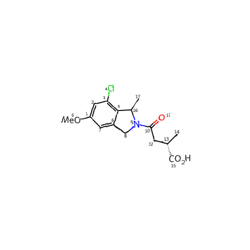 COc1cc(Cl)c2c(c1)CN(C(=O)C[C@H](C)C(=O)O)C2C